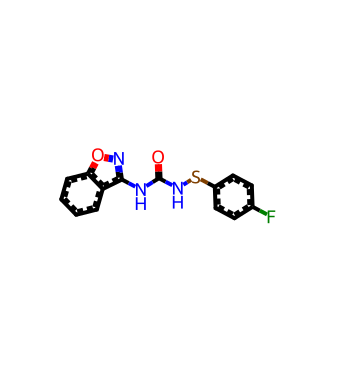 O=C(NSc1ccc(F)cc1)Nc1noc2ccccc12